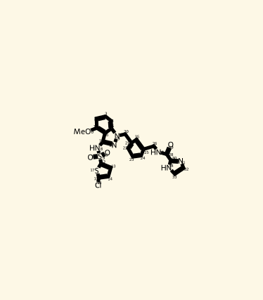 COc1cccc2c1c(NS(=O)(=O)c1ccc(Cl)s1)nn2Cc1cccc(CNC(=O)c2ncc[nH]2)c1